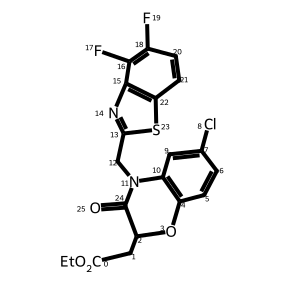 CCOC(=O)CC1Oc2ccc(Cl)cc2N(Cc2nc3c(F)c(F)ccc3s2)C1=O